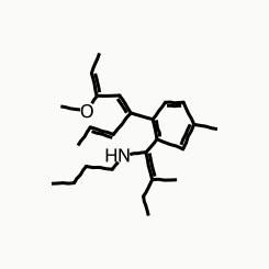 C/C=C/C(=C\C(=C/C)OC)c1ccc(C)cc1/C(NCCCC)=C(\C)CC